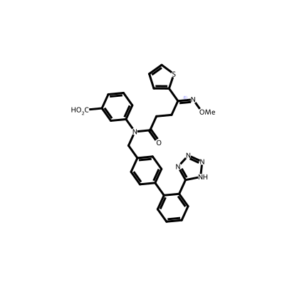 CO/N=C(\CCC(=O)N(Cc1ccc(-c2ccccc2-c2nnn[nH]2)cc1)c1cccc(C(=O)O)c1)c1cccs1